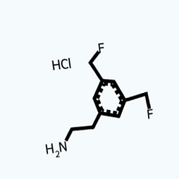 Cl.NCCc1cc(CF)cc(CF)c1